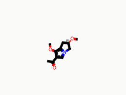 COc1c(C(C)=O)cn2c1C[C@@H](OC)C2